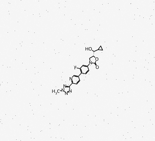 Cn1nnc(-c2ccc(-c3ccc(N4C[C@H](C(O)C5CC5)OC4=O)cc3F)cn2)n1